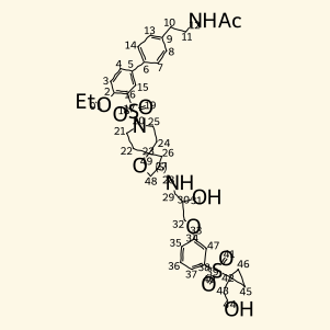 CCOc1ccc(-c2ccc(CCNC(C)=O)cc2)cc1S(=O)(=O)N1CCC2(CC1)C[C@H](NCC(O)COc1cccc(S(=O)(=O)C3(CO)CC3)c1)CO2